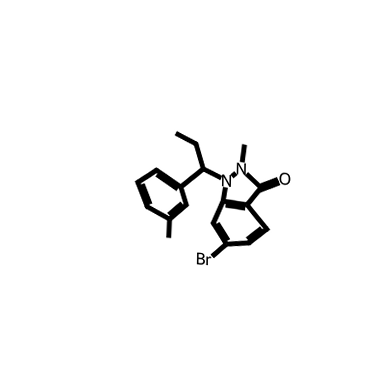 CCC(c1cccc(C)c1)n1c2cc(Br)ccc2c(=O)n1C